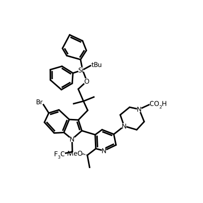 CO[C@@H](C)c1ncc(N2CCN(C(=O)O)CC2)cc1-c1c(CC(C)(C)CO[Si](c2ccccc2)(c2ccccc2)C(C)(C)C)c2cc(Br)ccc2n1CC(F)(F)F